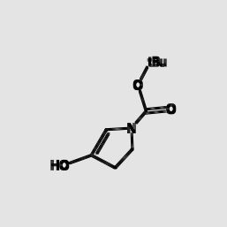 CC(C)(C)OC(=O)N1C=C(O)CC1